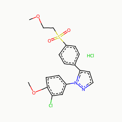 COCCS(=O)(=O)c1ccc(-c2ccnn2-c2ccc(OC)c(Cl)c2)cc1.Cl